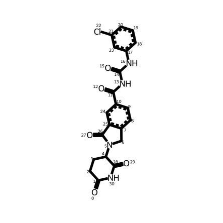 O=C1CCC(N2Cc3ccc(C(=O)NC(=O)Nc4cccc(Cl)c4)cc3C2=O)C(=O)N1